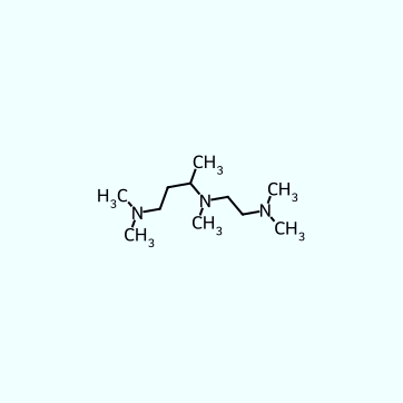 CC(CCN(C)C)N(C)CCN(C)C